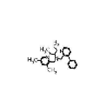 CCC(CC)N(Cc1ncc(C)cc1C)Cc1ncccc1-c1ccccc1